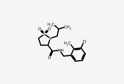 Cc1c(Cl)cccc1CNC(=O)C1CCS(=O)(=O)N1CC(C)C